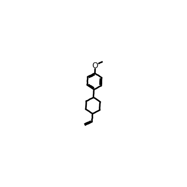 C=CC1CCC(c2ccc(OC)cc2)CC1